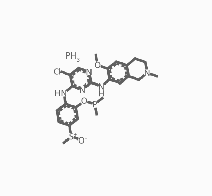 COc1cc2c(cc1Nc1ncc(Cl)c(Nc3ccc([S+](C)[O-])cc3OP(C)C)n1)CN(C)CC2.P